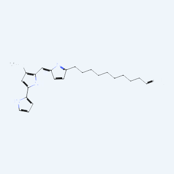 C=CCCCCCCCCCC1=N/C(=C/c2[nH]c(-c3ccc[nH]3)cc2OC)C=C1